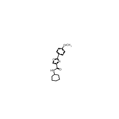 COc1ccc(-c2nc(C(=O)NC3CCCCC3)co2)cc1